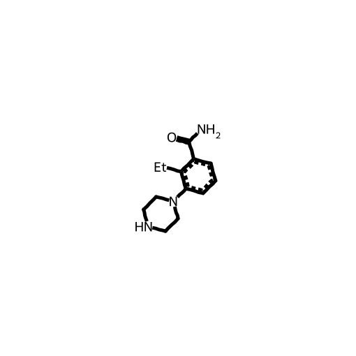 CCc1c(C(N)=O)cccc1N1CCNCC1